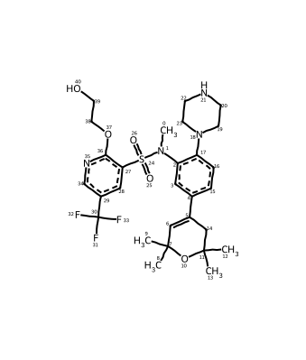 CN(c1cc(C2=CC(C)(C)OC(C)(C)C2)ccc1N1CCNCC1)S(=O)(=O)c1cc(C(F)(F)F)cnc1OCCO